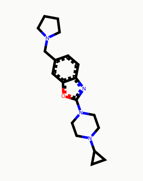 c1cc2nc(N3CCN(C4CC4)CC3)oc2cc1CN1CCCC1